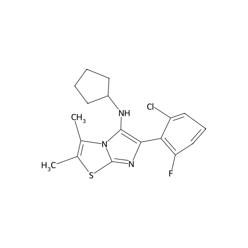 Cc1sc2nc(-c3c(F)cccc3Cl)c(NC3CCCC3)n2c1C